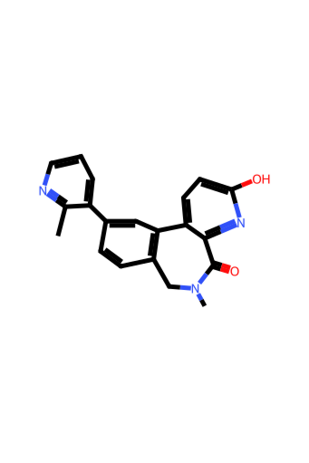 Cc1ncccc1-c1ccc2c(c1)-c1ccc(O)nc1C(=O)N(C)C2